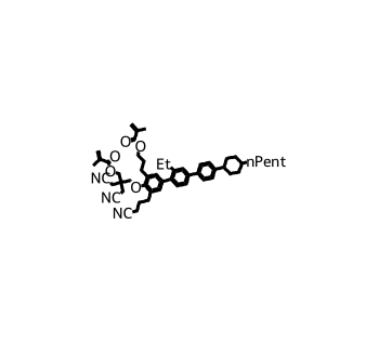 C=C(C)C(=O)OCCCc1cc(-c2ccc(-c3ccc(C4CCC(CCCCC)CC4)cc3)cc2CC)cc(CCCC#N)c1OCC(CC#N)(CC#N)COC(=O)C(=C)C